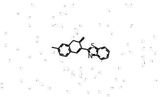 C=C1Cc2cc(C)ccc2C=C1c1nc2ccccc2s1